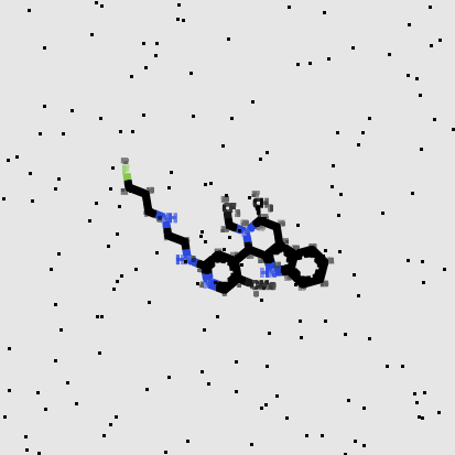 COc1cnc(NCCNCCCF)cc1C1c2[nH]c3ccccc3c2C[C@@H](C)N1CC(F)(F)F